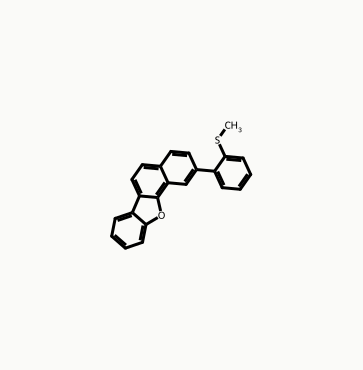 CSc1ccccc1-c1ccc2ccc3c4ccccc4oc3c2c1